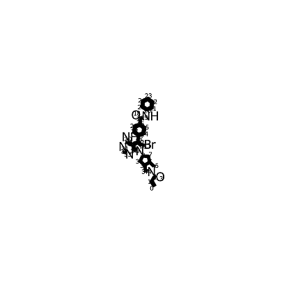 C=CC(=O)N1CC2CC(n3c(Br)c(-c4ccc(C(=O)Nc5ccccc5)cc4)c4c(N)ncnc43)CC2C1